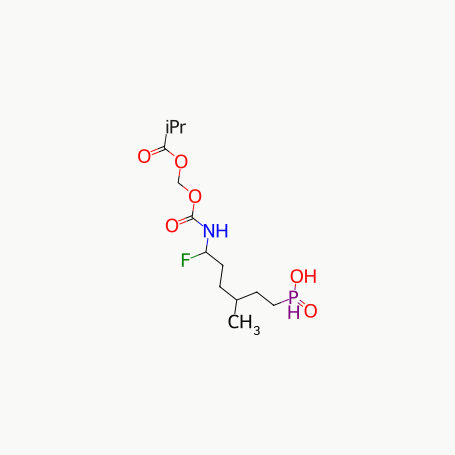 CC(CCC(F)NC(=O)OCOC(=O)C(C)C)CC[PH](=O)O